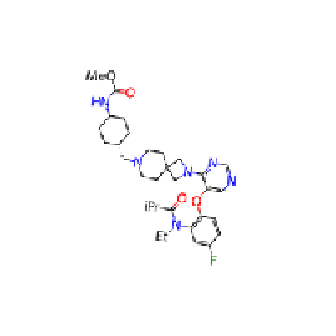 CCN(C(=O)C(C)C)c1cc(F)ccc1Oc1cncnc1N1CC2(CCN(C[C@H]3CC[C@H](NC(=O)OC)CC3)CC2)C1